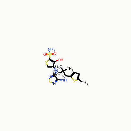 Cc1ccc([C@H](Nc2nsnc2NC2CSC(S(N)(=O)=O)=C2O)C(C)(C)C)s1